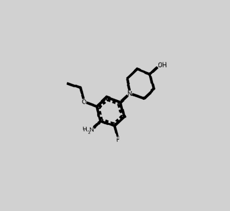 CCOc1cc(N2CCC(O)CC2)cc(F)c1N